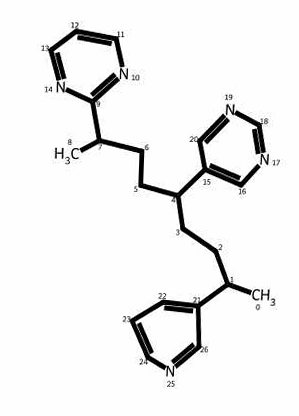 CC(CCC(CCC(C)c1ncccn1)c1cncnc1)c1cccnc1